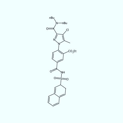 CCCCN(CCCC)C(=O)c1nn(-c2ccc(C(=O)NS(=O)(=O)C3C=c4ccccc4=CC3)cc2C(=O)OCC)c(C)c1Cl